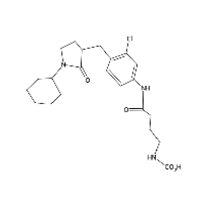 O=C(O)NCCCC(=O)Nc1ccc(CC2CCN(C3CCCCC3)C2=O)c(Cl)c1